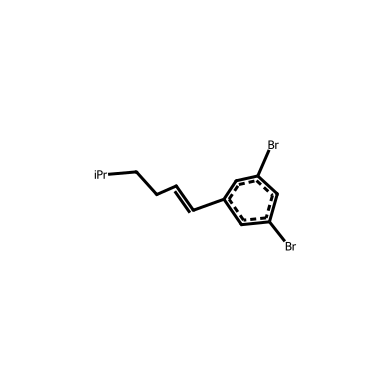 CC(C)CCC=Cc1cc(Br)cc(Br)c1